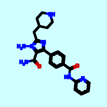 NC(=O)c1c(-c2ccc(C(=O)Nc3ccccn3)cc2)nc(CC2CCNCC2)n1N